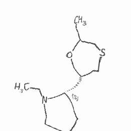 CC1OC([C@@H]2CCCN2C)CS1